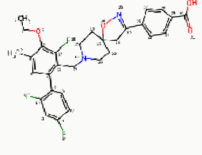 CCOc1c(C)cc(-c2ccc(F)cc2F)c(CN2CCC3(CC2)CC(c2ccc(C(=O)O)cc2)=NO3)c1F